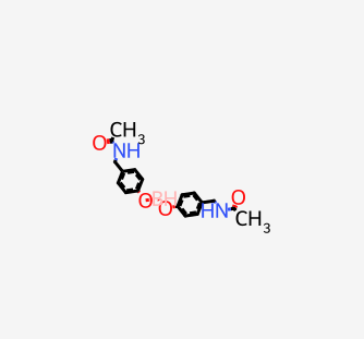 CC(=O)NCc1ccc(OBOc2ccc(CNC(C)=O)cc2)cc1